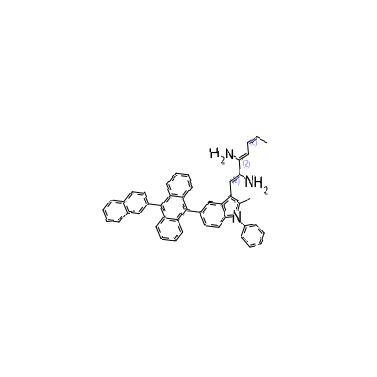 C\C=C/C=C(N)/C(N)=C/c1c(C)n(-c2ccccc2)c2ccc(-c3c4ccccc4c(-c4ccc5ccccc5c4)c4ccccc34)cc12